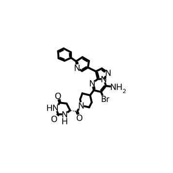 Nc1c(Br)c(C2CCN(C(=O)[C@H]3CC(=O)NC(=O)N3)CC2)nc2c(-c3ccc(-c4ccccc4)nc3)cnn12